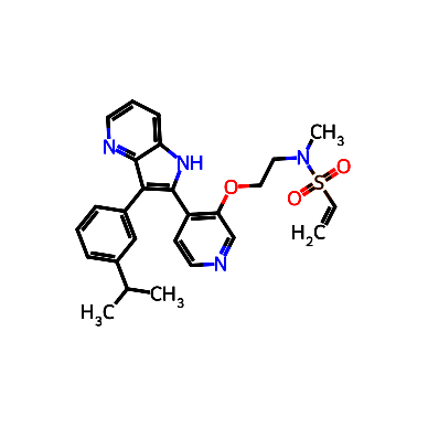 C=CS(=O)(=O)N(C)CCOc1cnccc1-c1[nH]c2cccnc2c1-c1cccc(C(C)C)c1